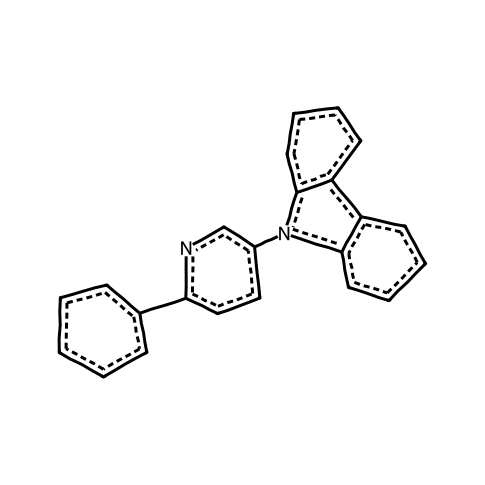 c1ccc(-c2ccc(-n3c4ccccc4c4ccccc43)cn2)cc1